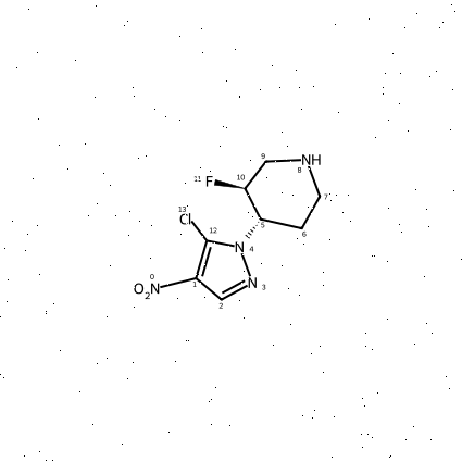 O=[N+]([O-])c1cnn([C@H]2CCNC[C@@H]2F)c1Cl